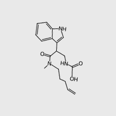 C=CCCCN(C)C(=O)C(CNC(=O)O)c1c[nH]c2ccccc12